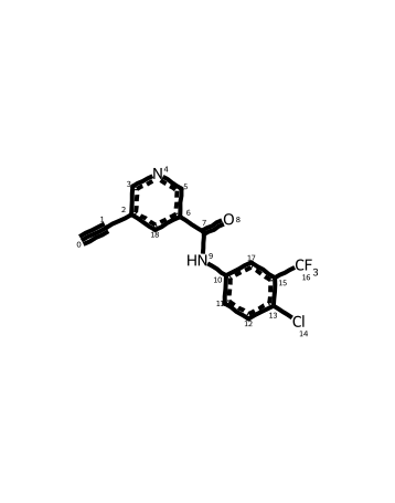 C#Cc1cncc(C(=O)Nc2ccc(Cl)c(C(F)(F)F)c2)c1